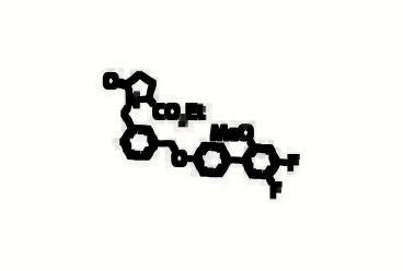 CCOC(=O)C1CCC(=O)N1Cc1cccc(COc2ccc(-c3cc(F)c(F)cc3OC)cc2)c1